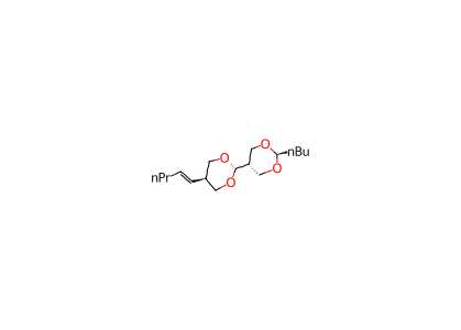 CCCC=C[C@H]1CO[C@H]([C@H]2CO[C@H](CCCC)OC2)OC1